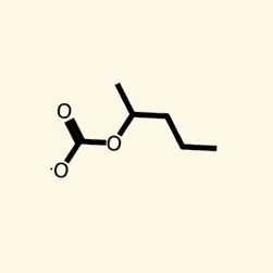 CCCC(C)OC([O])=O